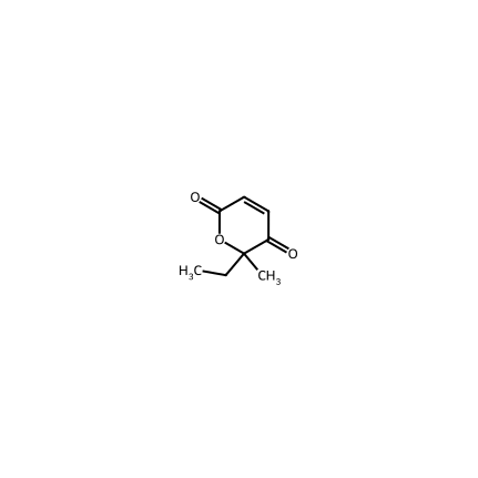 CCC1(C)OC(=O)C=CC1=O